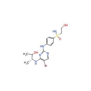 CC(O)[C@@H](C)Nc1nc(Nc2ccc(S(=N)(=O)CCO)cc2)ncc1Br